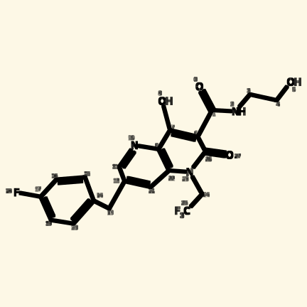 O=C(NCCO)c1c(O)c2ncc(Cc3ccc(F)cc3)cc2n(CC(F)(F)F)c1=O